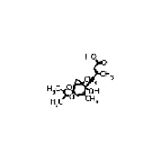 CC(C#CC1(O)C(C)=CC2(OC(C)C(C)O2)C2CC21C)=CC(=O)O